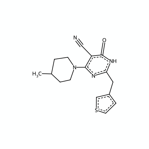 CC1CCN(c2nc(Cc3ccsc3)[nH]c(=O)c2C#N)CC1